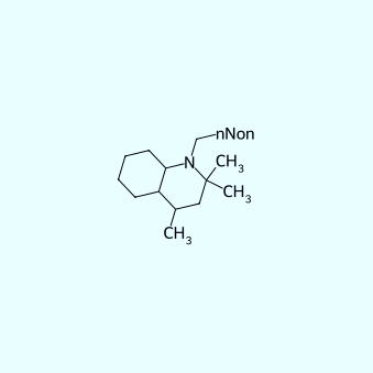 CCCCCCCCCCN1C2CCCCC2C(C)CC1(C)C